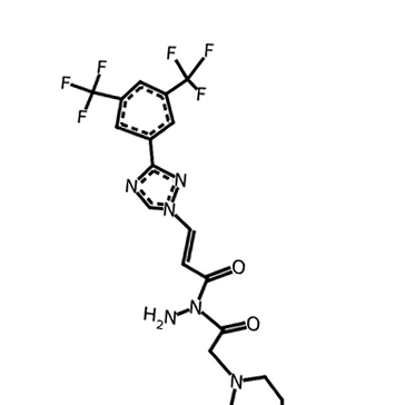 NN(C(=O)C=Cn1cnc(-c2cc(C(F)(F)F)cc(C(F)(F)F)c2)n1)C(=O)CN1CCOCC1